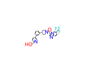 O=C(c1cnc2ccc(C(F)(F)F)cn12)N1CCC(c2cccc(-c3ccc(CO)nc3)c2)CC1